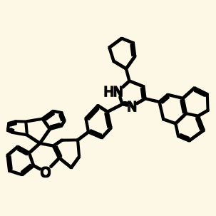 C1=CC2CC(C3=CC(C4C=CCCC4)NC(c4ccc(C5CCC6=C(C5)C5(c7ccccc7O6)c6ccccc6C6C=CC=CC65)cc4)=N3)=CC3=C2C(=C1)CC=C3